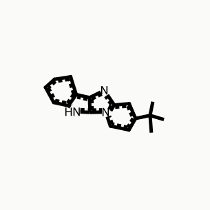 CC(C)(C)c1ccn2c(c1)nc1c3ccccc3[nH]c12